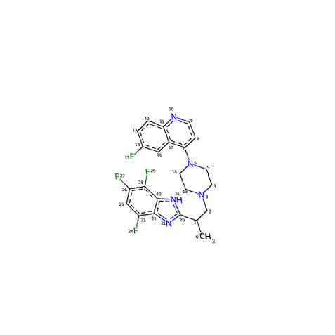 CC(CN1CCN(c2ccnc3ccc(F)cc23)CC1)c1nc2c(F)cc(F)c(F)c2[nH]1